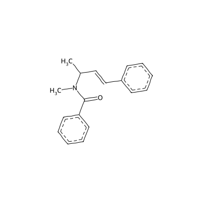 CC(C=Cc1ccccc1)N(C)C(=O)c1ccccc1